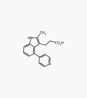 Cc1[nH]c2cccc(-c3ccncc3)c2c1CCC(=O)O